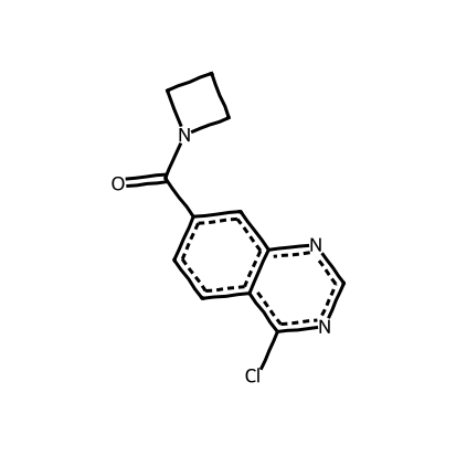 O=C(c1ccc2c(Cl)ncnc2c1)N1CCC1